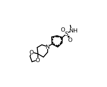 CNS(=O)(=O)c1ccc(N2CCC3(CC2)OCCO3)cc1